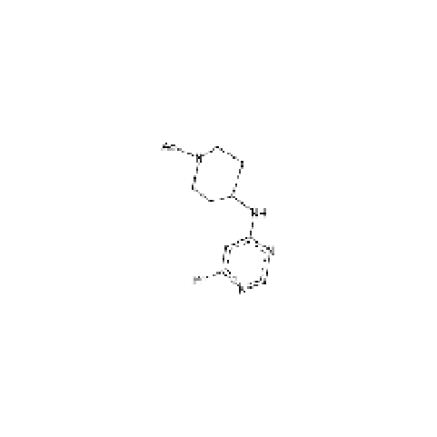 CC(=O)N1CCC(Nc2cc(C(C)C)ncn2)CC1